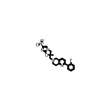 CC1(CN2CCc3nc(-c4ccccc4F)ccc3C2)Cn2cc([N+](=O)[O-])nc2O1